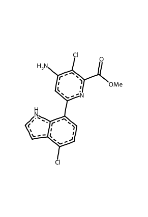 COC(=O)c1nc(-c2ccc(Cl)c3cc[nH]c23)cc(N)c1Cl